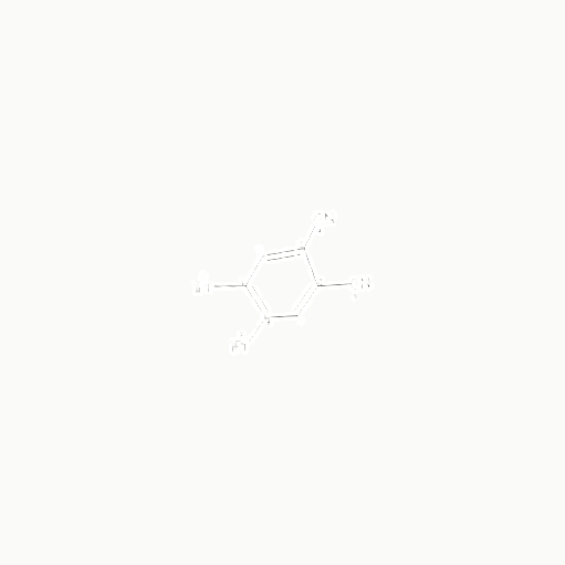 CC(C)c1cc(C#N)c(C#N)cc1C(C)C